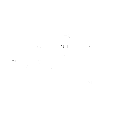 CC(C)(C)OC(=O)C[C@H](N)c1c[nH]c2ccccc12.Cl